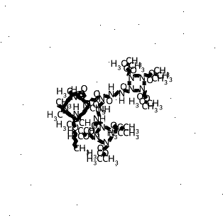 CCCCCCOC(C)c1c(C)c2cc3nc(c4c5[nH]c(cc6nc(cc1[nH]2)C(C)=C6CC)c(C)c5C(=O)C4)[C@@H](CCC(=O)N(CC(=O)NCCNC(=O)CN1CCN(CC(=O)OC(C)(C)C)CCN(CC(=O)OC(C)(C)C)CCN(CC(=O)OC(C)(C)C)CC1)CC(=O)NCCNC(=O)CN1CCN(CC(=O)OC(C)(C)C)CCN(CC(=O)OC(C)(C)C)CCN(CC(=O)OC(C)(C)C)CC1)C3C